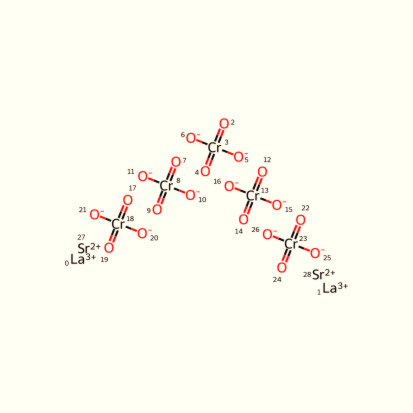 [La+3].[La+3].[O]=[Cr](=[O])([O-])[O-].[O]=[Cr](=[O])([O-])[O-].[O]=[Cr](=[O])([O-])[O-].[O]=[Cr](=[O])([O-])[O-].[O]=[Cr](=[O])([O-])[O-].[Sr+2].[Sr+2]